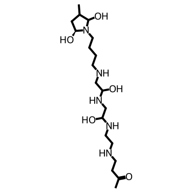 CC(=O)CCNCCNC(O)CNC(O)CNCCCCN1C(O)C(C)C[C@@H]1O